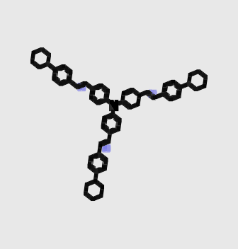 C1=CC(/C=C/c2ccc(C3CCCCC3)cc2)CC=C1N(c1ccc(/C=C/c2ccc(C3CCCCC3)cc2)cc1)c1ccc(/C=C/c2ccc(C3CCCCC3)cc2)cc1